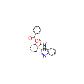 CNC(=S)[C@@]1(c2cnc3ccccc3c2)CCCC[C@@H]1OC(=O)c1ccccc1